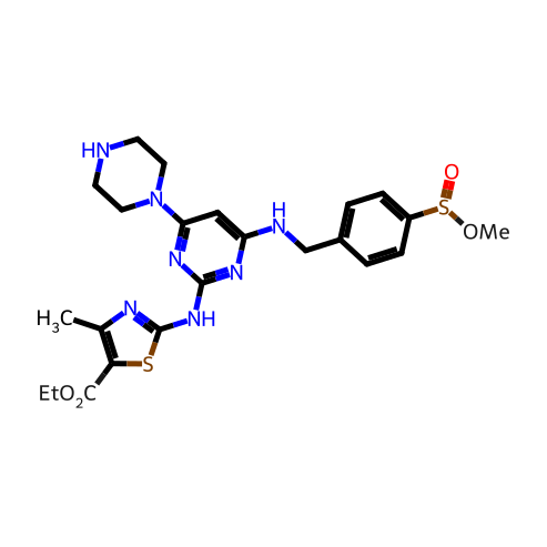 CCOC(=O)c1sc(Nc2nc(NCc3ccc(S(=O)OC)cc3)cc(N3CCNCC3)n2)nc1C